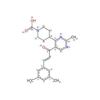 Cc1cc(C)cc(C=CC(=O)c2cnc(C)nc2C2CCN(C(=O)O)CC2)c1